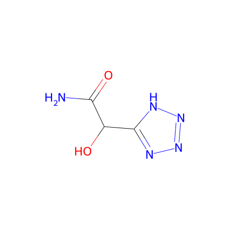 NC(=O)C(O)c1nnn[nH]1